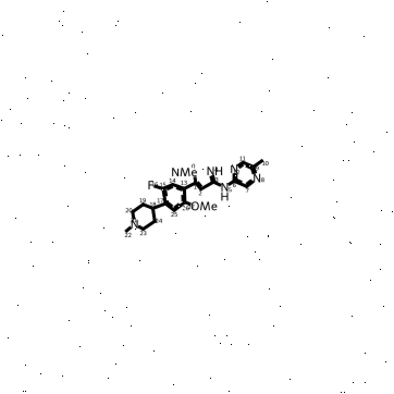 CN/C(=C\C(=N)Nc1cnc(C)cn1)c1cc(F)c(C2CCN(C)CC2)cc1OC